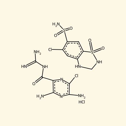 Cl.N=C(N)NC(=O)c1nc(Cl)c(N)nc1N.NS(=O)(=O)c1cc2c(cc1Cl)NCNS2(=O)=O